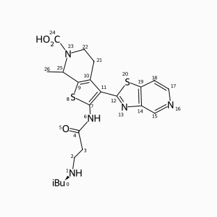 CC[C@H](C)NCCC(=O)Nc1sc2c(c1-c1nc3cnccc3s1)CCN(C(=O)O)C2C